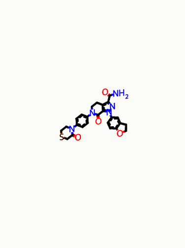 NC(=O)c1nn(-c2ccc3c(c2)CCO3)c2c1CCN(c1ccc(N3CCSCC3=O)cc1)C2=O